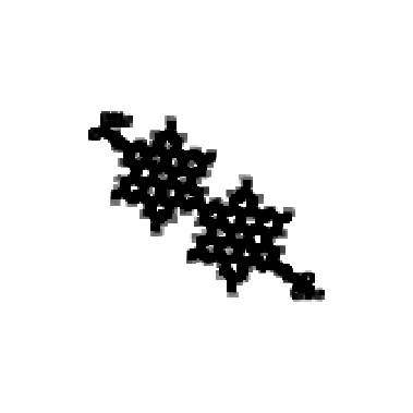 COC(=O)C#Cc1cc2c3cc(C)cc4c5cc(C)cc6c7cc(-c8cc9c%10cc(C)cc%11c%12cc(C)cc%13c%14cc(C#CC(=O)OC)cc%15c%16cc(C)cc%17c%18cc(C)cc%19c(c8)c9c8c(c%11%10)c(c%12%13)c(c%14%15)c(c%17%16)c8c%18%19)cc8c9cc(C)cc%10c%11cc(C)cc%12c(c1)c2c1c(c43)c(c56)c(c78)c(c%109)c1c%11%12